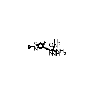 NC(=O)c1c(C#Cc2cc3nc(C4CC4)sc3cc2F)n[nH]c1N